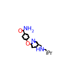 CC(C)CNCc1ccc(Oc2ccc(C(N)=O)cc2)nc1